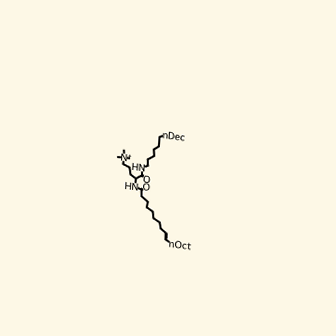 CCCCCCCC/C=C/CCCCCCCC(=O)NC(CCC[N+](C)(C)C)C(=O)NCCCCCCCCCCCCCCCC